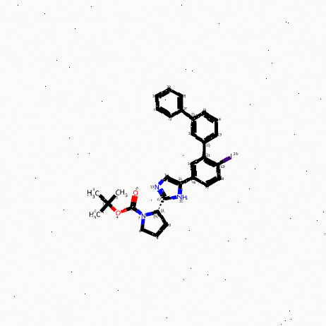 CC(C)(C)OC(=O)N1CCC[C@H]1c1ncc(-c2ccc(I)c(-c3cccc(-c4ccccc4)c3)c2)[nH]1